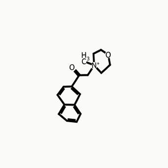 C[N+]1(CC(=O)c2ccc3ccccc3c2)CCOCC1